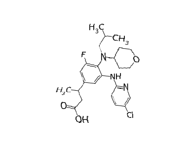 CC(C)CN(c1c(F)cc(C(C)CC(=O)O)cc1Nc1ccc(Cl)cn1)C1CCOCC1